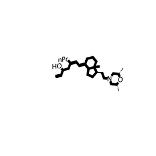 C=CC(O)C/C(=C\C=C1/CCCC2(C)C1CC[C@@H]2CCN1C[C@@H](C)O[C@@H](C)C1)CCC